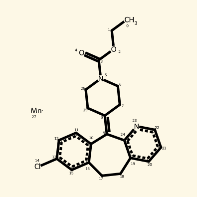 CCOC(=O)N1CCC(=C2c3ccc(Cl)cc3CCc3cccnc32)CC1.[Mn]